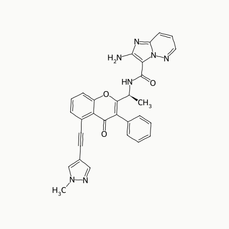 C[C@H](NC(=O)c1c(N)nc2cccnn12)c1oc2cccc(C#Cc3cnn(C)c3)c2c(=O)c1-c1ccccc1